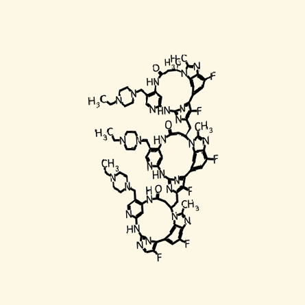 CCN1CCN(Cc2cnc3cc2NC(=O)CC(Cc2nc4nc(c2F)-c2cc(F)c5nc(C)n(c5c2)[C@H](Cc2nc5nc(c2F)-c2cc(F)c6nc(C)n(c6c2)[C@@H](C)CC(=O)Nc2cc(ncc2CN2CCN(CC)CC2)N5)CC(=O)Nc2cc(ncc2CN2CCN(CC)CC2)N4)n2c(C)nc4c(F)cc(cc42)-c2nc(ncc2F)N3)CC1